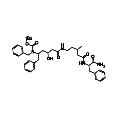 CC(CCNC(=O)CC(O)CC(Cc1ccccc1)N(Cc1ccccc1)C(=O)OC(C)(C)C)CC(=O)NC(Cc1ccccc1)C(N)=O